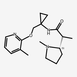 Cc1cccnc1OCC1(NC(=O)C(C)[C@@H]2CCCN2C)CC1